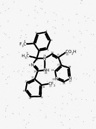 CC1(c2ccccc2C(F)(F)F)N=C(c2ccccc2C(F)(F)F)NN1/C=C(/C(=O)O)c1cncnc1